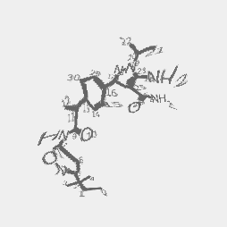 CCC(C)(C)c1cc(NC(=O)C(C)c2ccc(-c3nn(C(C)C)c(N)c3C(N)=O)cc2)on1